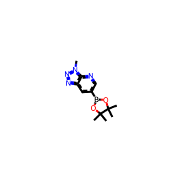 Cn1nnc2cc(B3OC(C)(C)C(C)(C)O3)cnc21